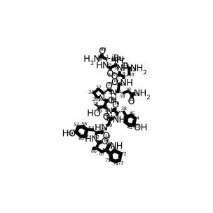 CC[C@@H](C)[C@H](NC(=O)C(NC(=O)[C@H](CC(N)=O)NC(=O)[C@H](CCC(N)=O)NC(=O)[C@@H]1CCCN1C(=O)C(NC(=O)[C@H](Cc1ccc(O)cc1)NC(=O)CNC(=O)[C@H](Cc1ccc(O)cc1)NC(=O)C(C)Cc1c[nH]c2ccccc12)[C@H](C)O)C(C)C)C(N)=O